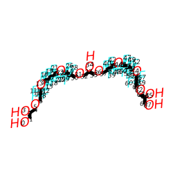 OCC(O)COCC(F)(F)C(F)(F)OC(F)(F)C(F)(F)C(F)(F)OC(F)(F)C(F)(F)COCC(O)COCC(F)(F)C(F)(F)OC(F)(F)C(F)(F)C(F)(F)OC(F)(F)C(F)(F)COCC(O)CO